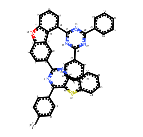 FC(F)(F)c1ccc(-c2nc(-c3ccc4oc5cccc(-c6nc(-c7ccccc7)nc(-c7ccccc7)n6)c5c4c3)nc3c2sc2ccccc23)cc1